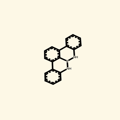 c1ccc2c(c1)NB1Nc3ccccc3-c3cccc-2c31